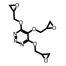 C(Oc1nnnc(OCC2CO2)c1OCC1CO1)C1CO1